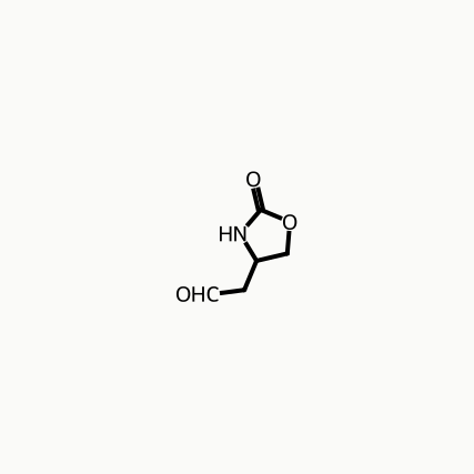 O=CCC1COC(=O)N1